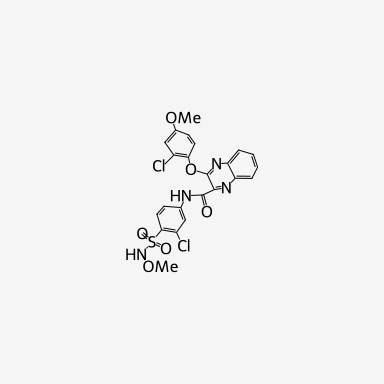 CONS(=O)(=O)c1ccc(NC(=O)c2nc3ccccc3nc2Oc2ccc(OC)cc2Cl)cc1Cl